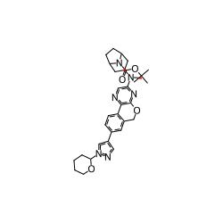 CN(c1cnc2c(n1)OCc1cc(-c3cnn(C4CCCCO4)c3)ccc1-2)C1CC2CCC(C1)N2C(=O)OC(C)(C)C